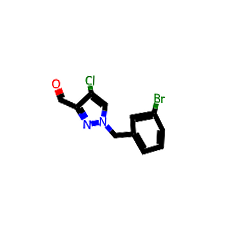 O=Cc1nn(Cc2cccc(Br)c2)cc1Cl